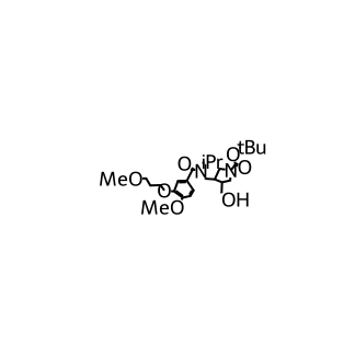 COCCCOc1cc(C(=O)N(CC2CN(C(=O)OC(C)(C)C)CC2CO)C(C)C)ccc1OC